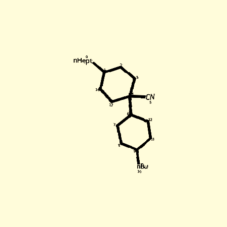 CCCCCCCC1CCC(C#N)(C2CCC(CCCC)CC2)CC1